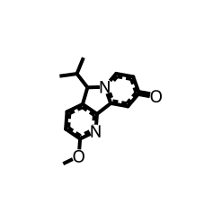 COc1ccc2c(n1)-c1cc(=O)ccn1C2C(C)C